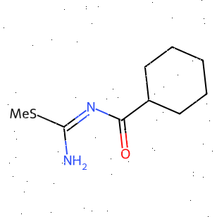 CS/C(N)=N/C(=O)C1CCCCC1